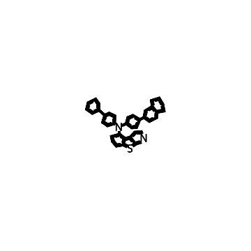 c1ccc(-c2ccc(N(c3ccc(-c4ccc5ccccc5c4)cc3)c3cccc4sc5cnccc5c34)cc2)cc1